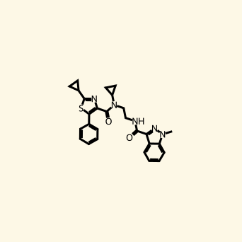 Cn1nc(C(=O)NCCN(C(=O)c2nc(C3CC3)sc2-c2ccccc2)C2CC2)c2ccccc21